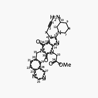 CC#CCn1c(N2CCCC(N)C2)nc2c1c(=O)n(Cc1ccc3ncncc3c1)c(=O)n2CC(=O)OC